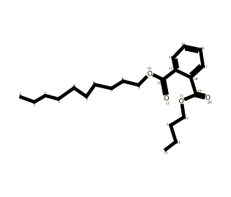 CCCCCCCCCCOC(=O)c1ccccc1C(=O)OCCCC